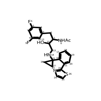 CC(=O)NC(Cc1cc(F)cc(F)c1)C(O)CNC1(c2ccccc2-c2nccs2)CC1